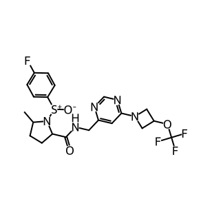 CC1CCC(C(=O)NCc2cc(N3CC(OC(F)(F)F)C3)ncn2)N1[S+]([O-])c1ccc(F)cc1